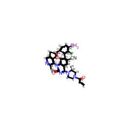 C=CC(=O)N1CCN(c2nc(=O)n(-c3c(C(C)C)ncc4c3CCC4)c3c4c(c(C#N)cc23)-c2c(ccc(P)c2F)CO4)[C@@H](C)C1